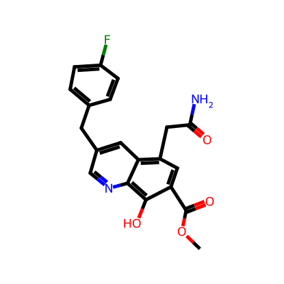 COC(=O)c1cc(CC(N)=O)c2cc(Cc3ccc(F)cc3)cnc2c1O